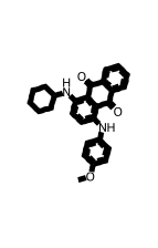 COc1ccc(Nc2ccc(NC3CCCCC3)c3c2C(=O)c2ccccc2C3=O)cc1